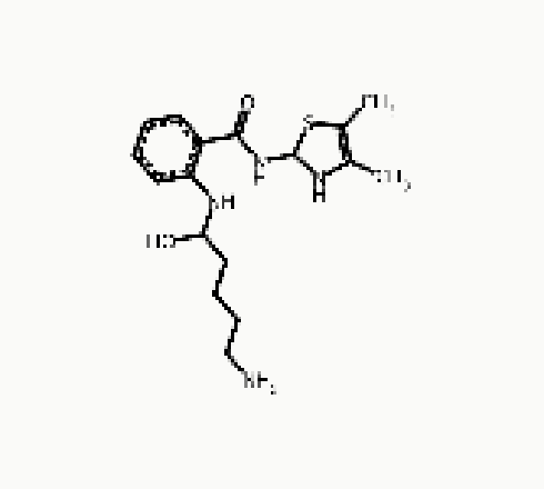 CC1=C(C)SC(NC(=O)c2ccccc2NC(O)CCCCN)N1